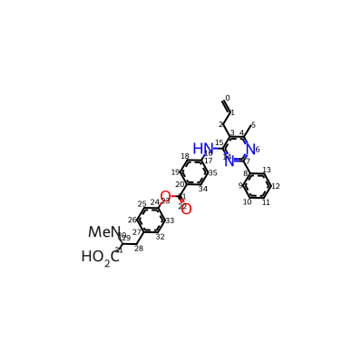 C=CCc1c(C)nc(-c2ccccc2)nc1Nc1ccc(C(=O)Oc2ccc(C[C@H](NC)C(=O)O)cc2)cc1